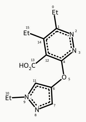 CCc1nnc(Oc2cnn(CC)c2)c(C(=O)O)c1CC